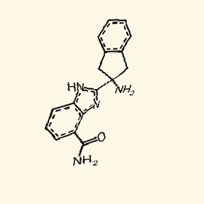 NC(=O)c1cccc2[nH]c(C3(N)Cc4ccccc4C3)nc12